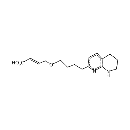 O=C(O)C=CCOCCCCc1ccc2c(n1)NCCC2